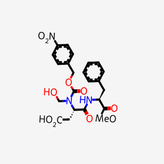 COC(=O)[C@H](Cc1ccccc1)NC(=O)[C@H](CC(=O)O)N(CO)C(=O)OCc1ccc([N+](=O)[O-])cc1